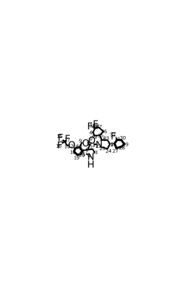 O=C([C@@H]1CNC[C@]12COCc1c(OCC(F)(F)F)cccc12)N1CC[C@@H](c2ccccc2F)CC1C1CCC(F)(F)CC1